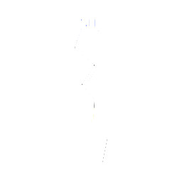 CCSC/C=C/CN